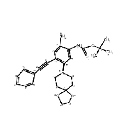 CC(C)(C)OC(=O)Nc1cc(N2CCC3(CC2)OCCO3)c(C#Cc2ccccc2)cc1N